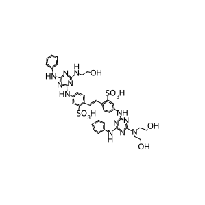 O=S(=O)(O)c1cc(Nc2nc(NCCO)nc(Nc3ccccc3)n2)ccc1/C=C/c1ccc(Nc2nc(Nc3ccccc3)nc(N(CCO)CCO)n2)cc1S(=O)(=O)O